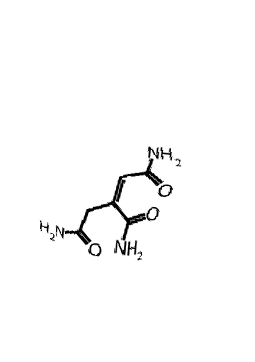 NC(=O)C=C(CC(N)=O)C(N)=O